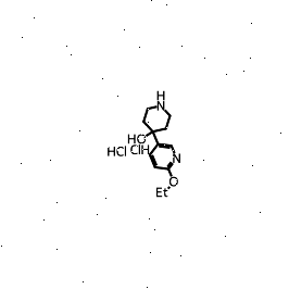 CCOc1ccc(C2(O)CCNCC2)cn1.Cl.Cl